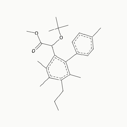 CCCc1c(C)c(C)c(C(OC(C)(C)C)C(=O)OC)c(-c2ccc(C)cc2)c1C